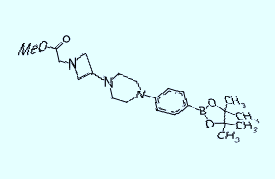 COC(=O)CN1CC(N2CCN(c3ccc(B4OC(C)(C)C(C)(C)O4)cc3)CC2)C1